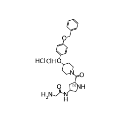 Cl.Cl.NCC(=O)NC1CN[C@H](C(=O)N2CCC(Oc3ccc(OCc4ccccc4)cc3)CC2)C1